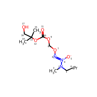 CC(C)CN(C)[N+]([O-])=NOCOC(=O)OC(C)(C)CO